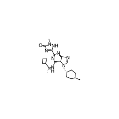 C[C@@H](Nc1nc(-c2nc(=O)n(C)[nH]2)nc2ncn(C[C@H]3CC[C@H](C)CC3)c12)C1CCC1